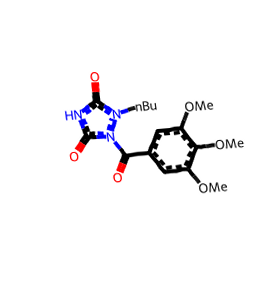 CCCCn1c(=O)[nH]c(=O)n1C(=O)c1cc(OC)c(OC)c(OC)c1